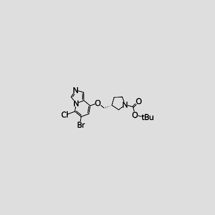 CC(C)(C)OC(=O)N1CC[C@@H](COc2cc(Br)c(Cl)n3cncc23)C1